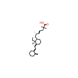 C=C1CCCCC1=CC=C1CCC[C@]2(C)[C@@H]([C@H](C)C=CCC(C)(C)C(=O)O)CC[C@@H]12